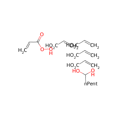 C=CC(=O)O.C=CC(=O)O.C=CC(=O)O.C=CC(=O)O.C=CC(=O)OO.CCCCCC(O)O